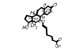 C[C@]12CCC(=O)C[C@@H]1CC[C@@H]1[C@@H]2[C@@H](OCCCCCC(=O)O)C[C@]2(C)[C@@H](O)CC[C@@H]12